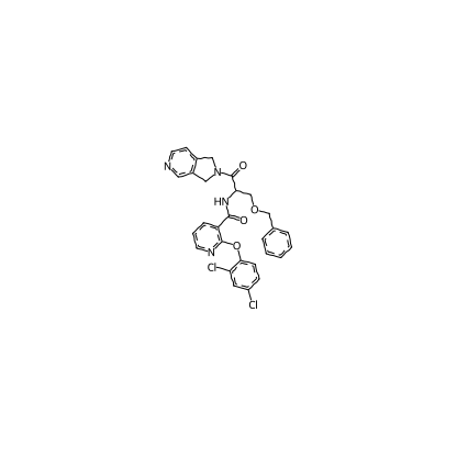 O=C(NC(COCc1ccccc1)C(=O)N1Cc2ccncc2C1)c1cccnc1Oc1ccc(Cl)cc1Cl